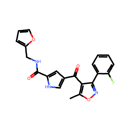 Cc1onc(-c2ccccc2F)c1C(=O)c1c[nH]c(C(=O)NCc2ccco2)c1